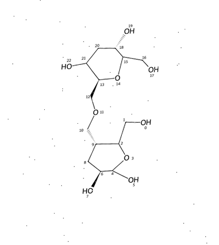 OCC1OC(O)[C@@H](O)C[C@@H]1COC[C@@H]1OC(CO)[C@@H](O)CC1O